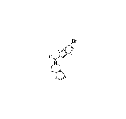 O=C(c1cc2ncc(Br)cn2n1)N1CCc2ccccc2C1